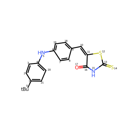 CC(C)(C)c1ccc(Nc2ccc(C=C3SC(=S)NC3=O)cc2)cc1